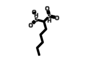 CCCCCC([SH](=O)=O)[SH](=O)=O